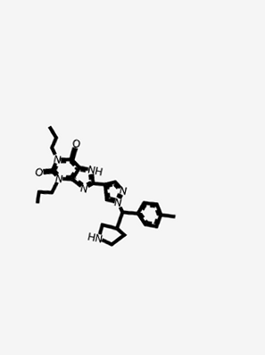 CCCn1c(=O)c2[nH]c(-c3cnn(C(c4ccc(C)cc4)C4CCNC4)c3)nc2n(CCC)c1=O